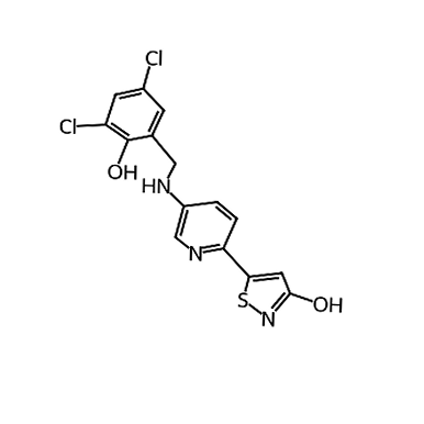 Oc1cc(-c2ccc(NCc3cc(Cl)cc(Cl)c3O)cn2)sn1